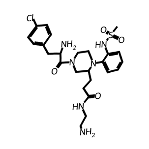 CS(=O)(=O)Nc1ccccc1N1CCN(C(=O)C(N)Cc2ccc(Cl)cc2)CC1CCC(=O)NCCN